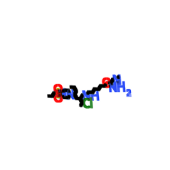 C\C=C/C(=C\C(CNCCCCCCOC(N)CN(C)C)=C(/C)Cl)N1CCN(S(=O)(=O)CCC)CC1